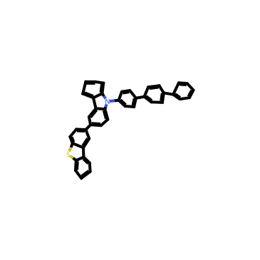 c1ccc(-c2ccc(-c3ccc(-n4c5ccccc5c5cc(-c6ccc7sc8ccccc8c7c6)ccc54)cc3)cc2)cc1